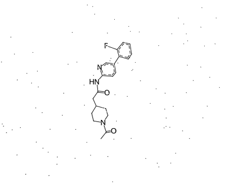 CC(=O)N1CCC(CC(=O)Nc2ccc(-c3ccccc3F)cn2)CC1